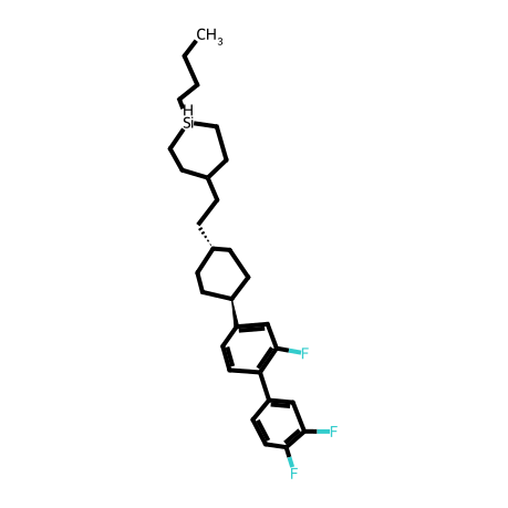 CCCC[SiH]1CCC(CC[C@H]2CC[C@H](c3ccc(-c4ccc(F)c(F)c4)c(F)c3)CC2)CC1